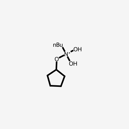 CCCC[N+](O)(O)OC1CCCC1